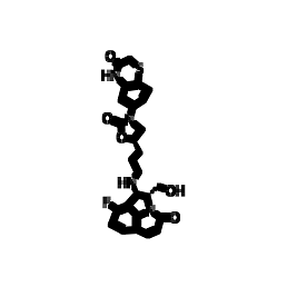 O=C1CSc2ccc(N3C[C@@H](CCCN[C@@H]4c5c(F)ccc6ccc(=O)n(c56)[C@H]4CO)OC3=O)cc2N1